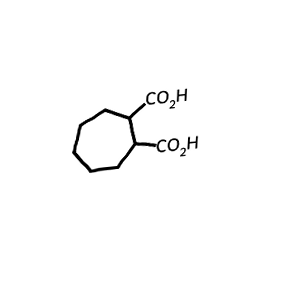 O=C(O)C1CCCCCC1C(=O)O